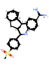 CS(=O)(=O)c1ccc(C2Nc3ccc(C(=N)N)cc3C3c4ccccc4CC23)cc1